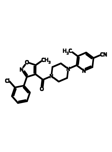 Cc1cc(C#N)cnc1N1CCN(C(=O)c2c(-c3ccccc3Cl)noc2C)CC1